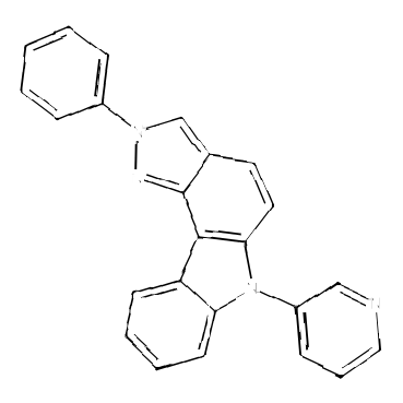 c1ccc(-n2cc3ccc4c(c5ccccc5n4-c4cccnc4)c3n2)cc1